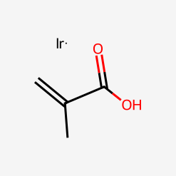 C=C(C)C(=O)O.[Ir]